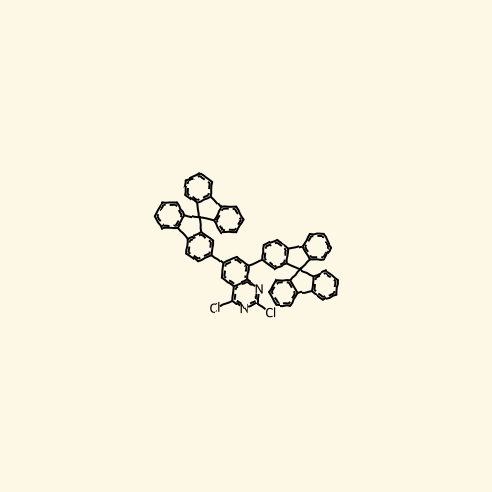 Clc1nc(Cl)c2cc(-c3ccc4c(c3)C3(c5ccccc5-c5ccccc53)c3ccccc3-4)cc(-c3ccc4c(c3)C3(c5ccccc5-c5ccccc53)c3ccccc3-4)c2n1